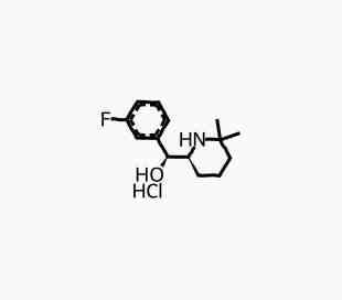 CC1(C)CCC[C@@H]([C@@H](O)c2cccc(F)c2)N1.Cl